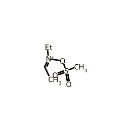 CC=[N+](CC)OS(C)(=O)=O